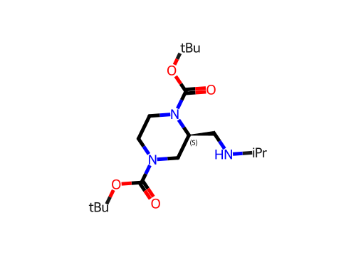 CC(C)NC[C@H]1CN(C(=O)OC(C)(C)C)CCN1C(=O)OC(C)(C)C